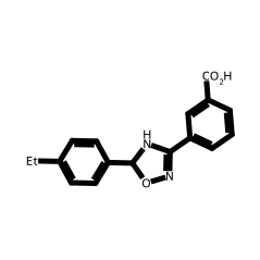 CCc1ccc(C2NC(c3cccc(C(=O)O)c3)=NO2)cc1